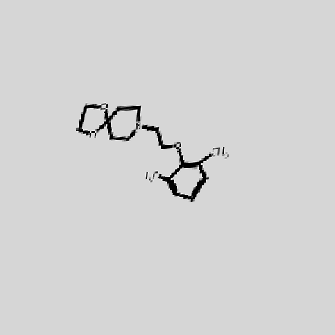 Cc1cccc(C)c1OCCN1CCC2(CC1)OCCO2